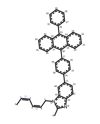 C/C=C\C=C/Cn1c(C)nc2ccc(-c3ccc(-c4c5ccccc5c(-c5ccccc5)c5ccccc45)cc3)cc21